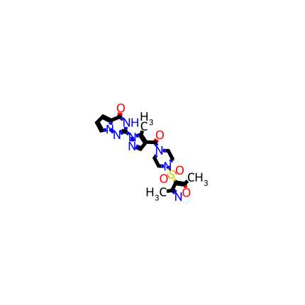 Cc1noc(C)c1S(=O)(=O)N1CCN(C(=O)c2cnn(-c3nn4cccc4c(=O)[nH]3)c2C)CC1